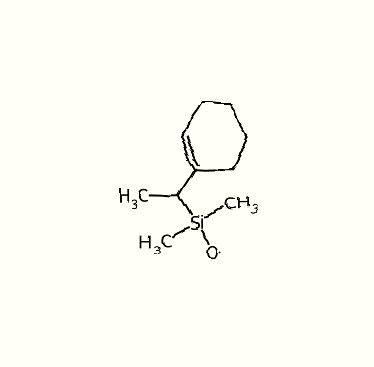 CC(C1=CCCCC1)[Si](C)(C)[O]